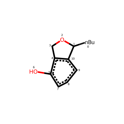 CCCCC1OCc2c(O)cccc21